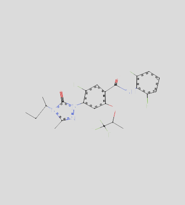 CCC(C)n1c(C)nn(-c2cc(OC(C)C(F)(F)F)c(C(=O)Nc3c(F)cccc3F)cc2F)c1=O